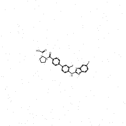 O=C(O)[C@H]1CCC[C@@H]1C(=O)c1ccc(-c2ccc(Nc3nc4ccc(F)cc4s3)c(F)c2)cc1